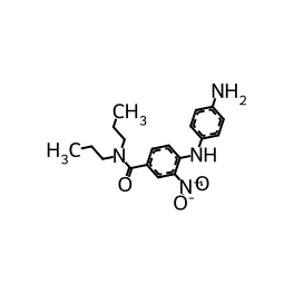 CCCN(CCC)C(=O)c1ccc(Nc2ccc(N)cc2)c([N+](=O)[O-])c1